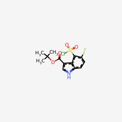 CC(C)(C)OC(=O)c1c[nH]c2ccc(F)c(S(=O)(=O)Cl)c12